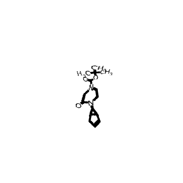 CC(C)(C)OC(=O)N1CCN(C2C3C=CCC32)C(=O)C1